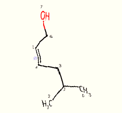 CC(C)C/C=C\CO